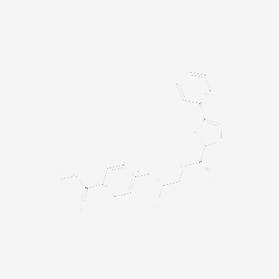 CC(CNC(=O)c1nc(-c2ccccc2)cs1)Oc1ccc(C(=O)NO)cc1